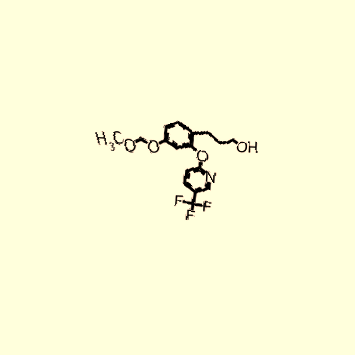 COCOc1ccc(CCCO)c(Oc2ccc(C(F)(F)F)cn2)c1